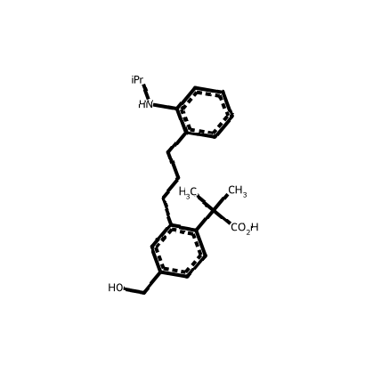 CC(C)Nc1ccccc1CCCc1cc(CO)ccc1C(C)(C)C(=O)O